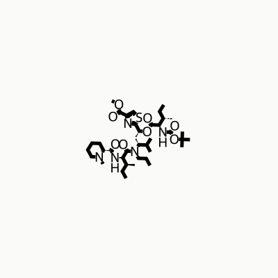 CCCN(C(=O)[C@@H](NC(=O)[C@H]1CCCCN1C)[C@@H](C)CC)[C@H](C[C@@H](OC(=O)[C@@H](NC(=O)OC(C)(C)C)[C@@H](C)CC)c1nc(C(=O)OC)cs1)C(C)C